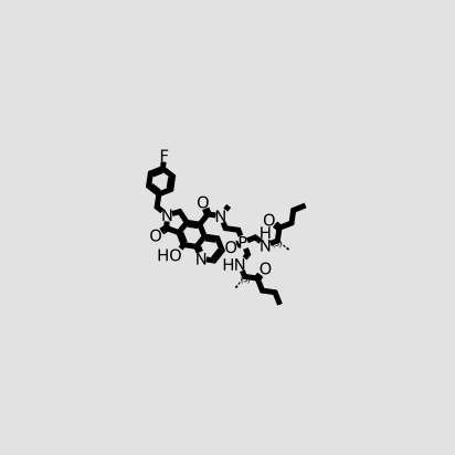 CCCC(=O)[C@H](C)NCP(=O)(CCN(C)C(=O)c1c2c(c(O)c3ncccc13)C(=O)N(Cc1ccc(F)cc1)C2)CN[C@@H](C)C(=O)CCC